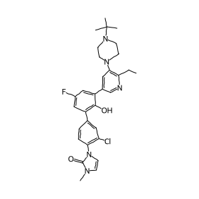 CCc1ncc(-c2cc(F)cc(-c3ccc(-n4ccn(C)c4=O)c(Cl)c3)c2O)cc1N1CCN(C(C)(C)C)CC1